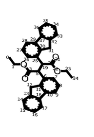 CCOC(=O)C(c1cccc2c1Cc1ccccc1-2)C(C(=O)OCC)c1cccc2c1Cc1ccccc1-2